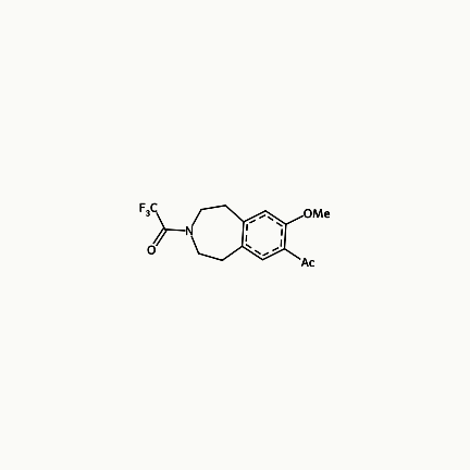 COc1cc2c(cc1C(C)=O)CCN(C(=O)C(F)(F)F)CC2